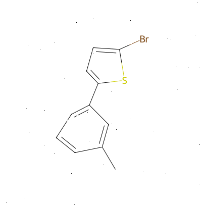 Cc1cccc(-c2ccc(Br)s2)c1